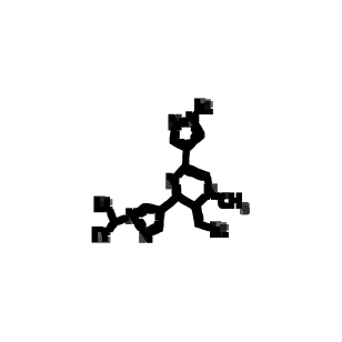 CC/C=C1/C(c2cnn(C(CC)CC)c2)=NC(c2cnn(CC)c2)=CN1C